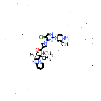 CC1CN(c2ncc(Cl)c(N3CC(C(=O)N(C)C(C)(C)c4cnc5ccccn45)C3)n2)CCN1